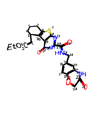 CCOC(=O)CC1CCCc2sc3nc(C(=O)NCc4ccc5c(c4)NC(=O)CO5)[nH]c(=O)c3c21